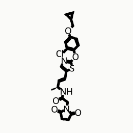 C[C@@H](/C=C/c1cnc(Oc2ccc(OCC3CC3)cc2Cl)s1)NC(=O)CN1C(=O)CCC1=O